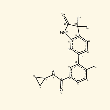 Cc1ccc(C(=O)NC2CC2)cc1-c1ccc2c(c1)NC(=O)C2(C)C